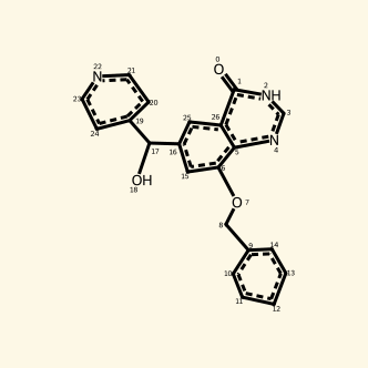 O=c1[nH]cnc2c(OCc3ccccc3)cc(C(O)c3ccncc3)cc12